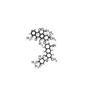 CCC(=O)c1c2c(c(C)c3c1C(=O)c1cccc(C)c1C3=O)C(O[C@@H]1CC3CC4C(CC(C)C(O[C@H]5CCC(C)C(C)C5)C4C)CC3C(C(C)C)C1)CC(C)(C)C2